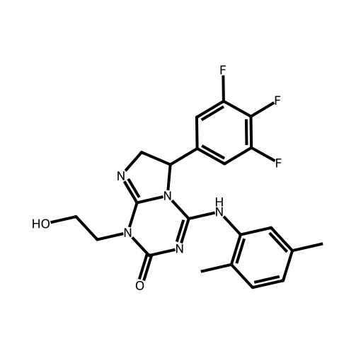 Cc1ccc(C)c(NC2=NC(=O)N(CCO)C3=NCC(c4cc(F)c(F)c(F)c4)N23)c1